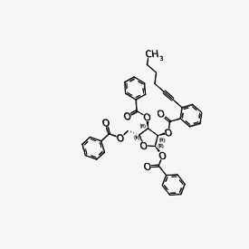 CCCCC#Cc1ccccc1C(=O)O[C@H]1[C@@H](OC(=O)c2ccccc2)O[C@H](COC(=O)c2ccccc2)[C@H]1OC(=O)c1ccccc1